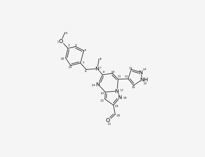 COc1ccc(CN(C)c2cc(-c3cn[nH]c3)n3nc(C=O)cc3n2)cc1